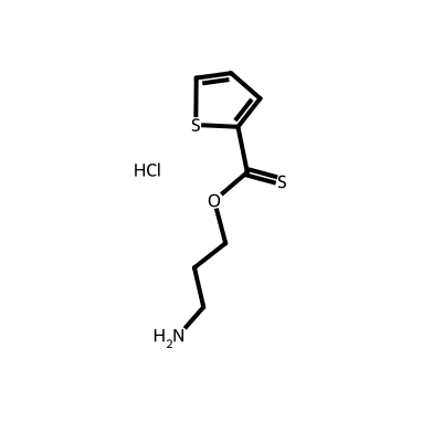 Cl.NCCCOC(=S)c1cccs1